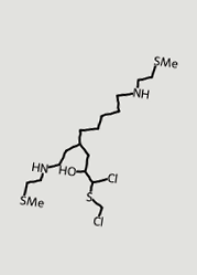 CSCCNCCCCCC(CCNCCSC)CC(O)C(Cl)SCCl